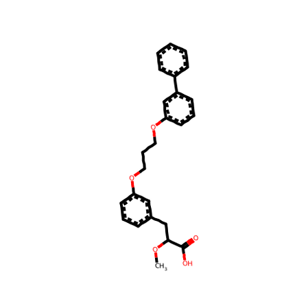 COC(Cc1cccc(OCCCOc2cccc(-c3ccccc3)c2)c1)C(=O)O